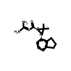 CC1(C)[C@H](C(=O)N=C(N)N)[C@H]1c1cccc2c1CCC2